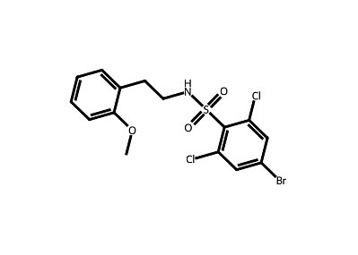 COc1ccccc1CCNS(=O)(=O)c1c(Cl)cc(Br)cc1Cl